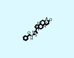 CN1C(=O)C=C[C@@]2(C)C1CC[C@@H]1[C@H]2CC[C@]2(C)C(c3csc(NC(=O)c4ccccc4)n3)CC[C@@H]12